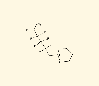 CC(F)C(F)(F)C(F)(F)C(F)(F)C[SiH]1CCCCO1